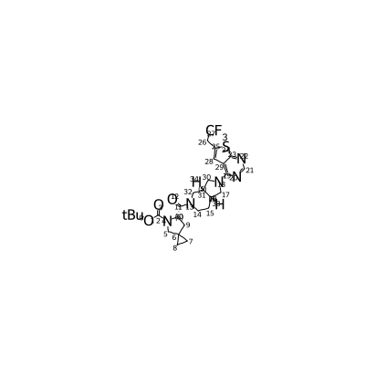 CC(C)(C)OC(=O)N1CC2(CC2)C[C@H]1C(=O)N1CC[C@H]2CN(c3ncnc4sc(CC(F)(F)F)cc34)C[C@H]2C1